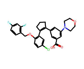 O=C(O)c1cc(C2=C(c3cc(Cl)ccc3OCc3ccc(F)cc3F)CCC2)cc(N2CCOCC2)c1